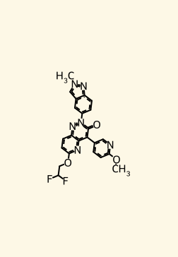 COc1ccc(-c2c(=O)n(-c3ccc4nn(C)cc4c3)nc3ccc(OCC(F)F)nc23)cn1